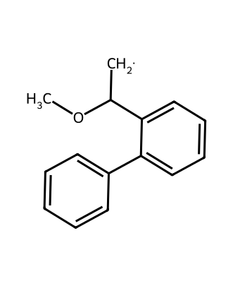 [CH2]C(OC)c1ccccc1-c1ccccc1